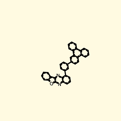 c1cc(-c2ccc3c4ccccc4c4ccccc4c3c2)cc(-c2cccc3nc4oc5ccccc5c4nc23)c1